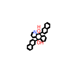 OC1(c2ccc3ccccc3c2)c2ccccc2C(O)(c2ccc3ccccc3c2)c2ncccc21